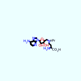 CCCN(CCC(N)C(=O)O)CC1OC(n2cnc3c(N)ccnc32)C(O)C1O